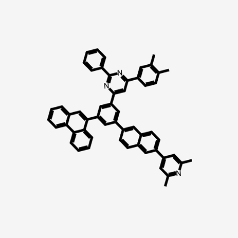 Cc1cc(-c2ccc3cc(-c4cc(-c5cc(-c6ccc(C)c(C)c6)nc(-c6ccccc6)n5)cc(-c5cc6ccccc6c6ccccc56)c4)ccc3c2)cc(C)n1